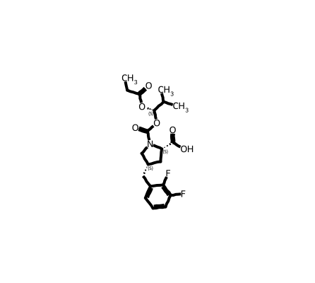 CCC(=O)O[C@@H](OC(=O)N1C[C@@H](Cc2cccc(F)c2F)C[C@H]1C(=O)O)C(C)C